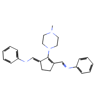 CCOC(=O)N1CCN(C2=C(/C=N/c3ccccc3)CC/C2=C\Nc2ccccc2)CC1